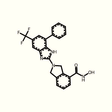 O=C(NO)c1cccc2c1CN(c1nc3cc(C(F)(F)F)cc(-c4ccccc4)c3[nH]1)C2